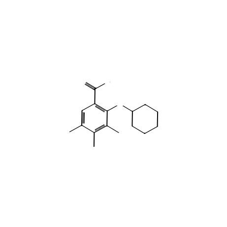 Cc1cc(C(=O)O)c(OC2CCCCC2)c(C)c1C